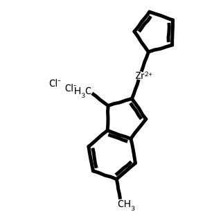 Cc1ccc2c(c1)C=[C]([Zr+2][CH]1C=CC=C1)C2C.[Cl-].[Cl-]